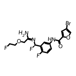 N/C(COCCF)=N/[C@H](F)c1cc(NC(=O)c2cc(Br)co2)ccc1F